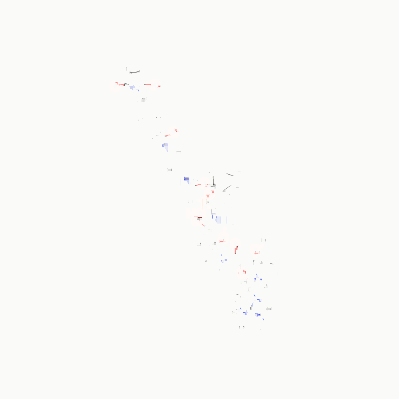 CCC(C)C(C(CC(=O)N1CCC[C@H]1C(OC)C(C)C(=O)NC(Cc1ccccc1)P(=O)(O)CC(=O)NCCCNC(=O)CCCCCN1C(=O)C=CC1=O)OC)N(C)C(=O)C(N=C(N(C)C)N(C)C)C(C)C